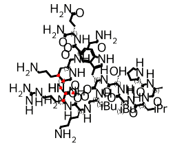 CC[C@H](C)[C@H](NC(=O)[C@H](CC(C)C)NC(=O)[C@H](C)NC(=O)[C@@H]1CCCN1)C(=O)N[C@@H](CO)C(=O)N[C@@H](Cc1c[nH]c2ccccc12)C(=O)N[C@H](C(=O)N[C@@H](CCCCN)C(=O)N[C@@H](CCCNC(=N)N)C(=O)N[C@@H](CCCCN)C(=O)N[C@@H](CCCNC(=N)N)C(=O)N[C@@H](CCC(N)=O)C(=O)N[C@@H](CCC(N)=O)C(N)=O)[C@@H](C)CC